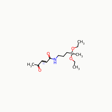 CCO[Si](C)(CCCNC(=O)/C=C/C(C)=O)OCC